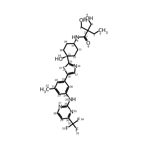 CCC(CO)(CO)C(=O)N[C@H]1CC[C@](O)(c2ncc(-c3cc(C)cc(Nc4nccc(C(F)(F)F)n4)c3)s2)CC1